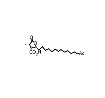 CC(=O)CCCCCCCCCCCCC[C@@H]1OC(=O)[C@@H](C)[C@@H]1C(=O)O